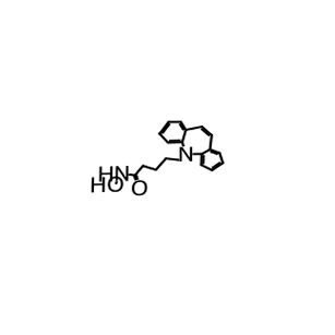 O=C(CCCCN1c2ccccc2C=Cc2ccccc21)NO